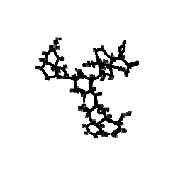 C=C(F)C(=O)N1CC[C@@H]2[C@H]1CN2c1nc(OC[C@@]23CCCN2C[C@H](F)C3)nc2nc(-c3cccc4ccc(F)c(Cl)c34)ccc12